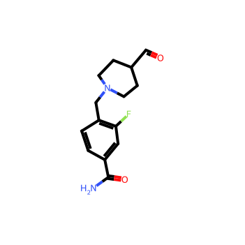 NC(=O)c1ccc(CN2CCC(C=O)CC2)c(F)c1